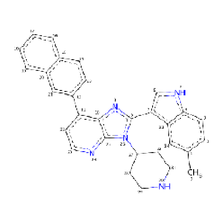 Cc1ccc2[nH]cc(-c3nc4c(-c5ccc6ccccc6c5)ccnc4n3C3CCNCC3)c2c1